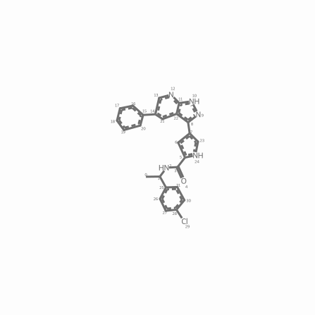 CC(NC(=O)c1cc(-c2n[nH]c3ncc(-c4ccccc4)cc23)c[nH]1)c1ccc(Cl)cc1